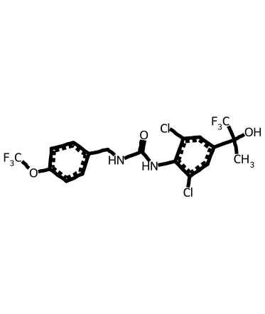 CC(O)(c1cc(Cl)c(NC(=O)NCc2ccc(OC(F)(F)F)cc2)c(Cl)c1)C(F)(F)F